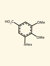 CCCCCCc1cc(C(=O)O)cc(OC)c1OC